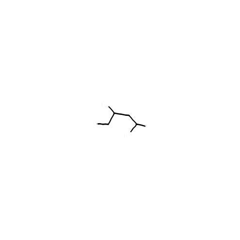 CCC(O)CC(CC)CO